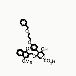 COc1cc(COC2CN(C(=O)O)CC(O)C2c2ccc(OCCCOCc3ccccc3)cc2)c(OC)c2ccccc12